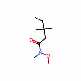 CCC(C)(C)CC(=O)N(C)OC